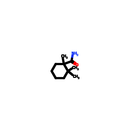 CC1(C)CCCCC1(C)C(N)=O